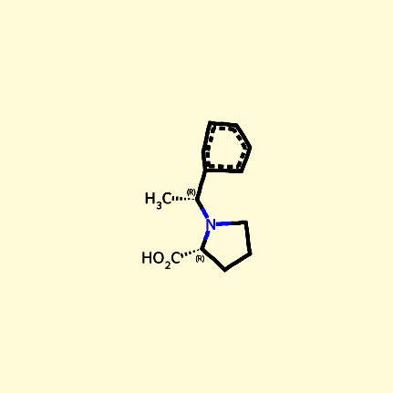 C[C@H](c1ccccc1)N1CCC[C@@H]1C(=O)O